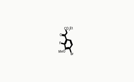 CCOC(=O)CC(=O)c1ccc(Br)c(OC)c1F